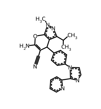 CC(C)c1nn(C)c2c1C(c1ccc(-n3ccnc3-c3ccccn3)cc1)C(C#N)=C(N)O2